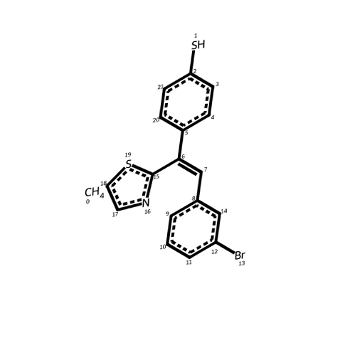 C.Sc1ccc(/C(=C/c2cccc(Br)c2)c2nccs2)cc1